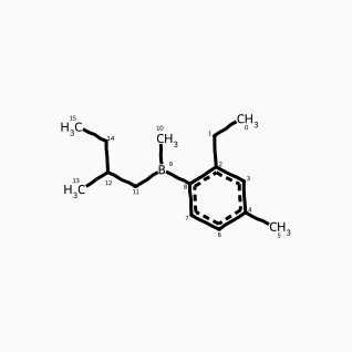 CCc1cc(C)ccc1B(C)CC(C)CC